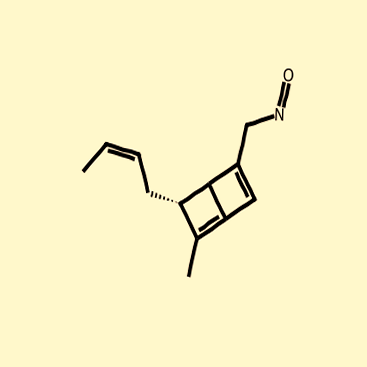 C/C=C\C[C@H]1C(C)=C2C=C(CN=O)C21